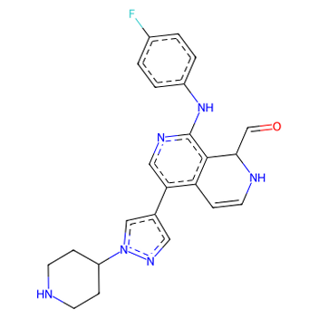 O=CC1NC=Cc2c(-c3cnn(C4CCNCC4)c3)cnc(Nc3ccc(F)cc3)c21